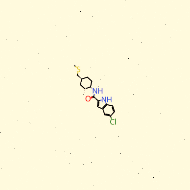 CSC[C@H]1CC[C@H](NC(=O)c2cc3cc(Cl)ccc3[nH]2)[C@H](C)C1